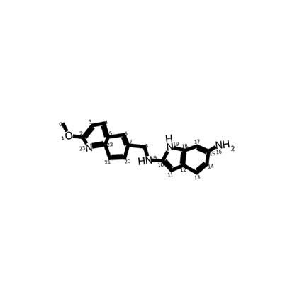 COc1ccc2cc(CNc3cc4ccc(N)cc4[nH]3)ccc2n1